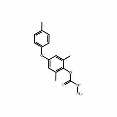 CCCCNC(=O)Oc1c(C)cc(Oc2ccc(C)cc2)cc1C